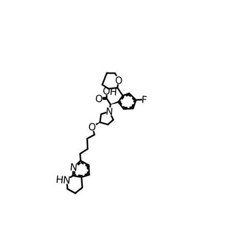 O=C(O)[C@@H](c1ccc(F)cc1C1CCCCO1)N1CC[C@@H](OCCCCc2ccc3c(n2)NCCC3)C1